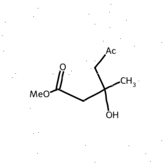 COC(=O)CC(C)(O)CC(C)=O